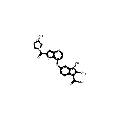 CNC(=O)c1c(C)n(C)c2cc(Oc3ccnc4cc(C(=O)N5CC[C@@H](O)C5)sc34)ccc12